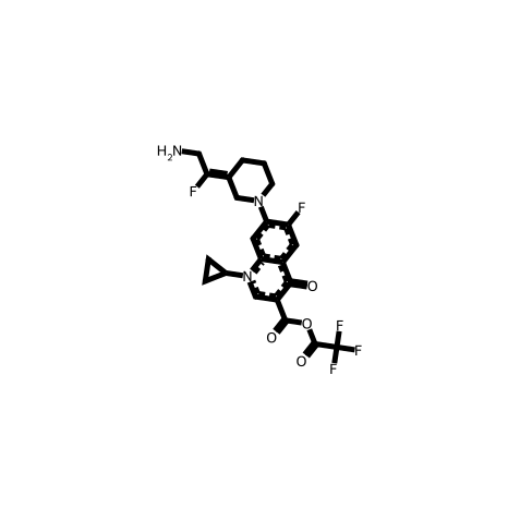 NC/C(F)=C1\CCCN(c2cc3c(cc2F)c(=O)c(C(=O)OC(=O)C(F)(F)F)cn3C2CC2)C1